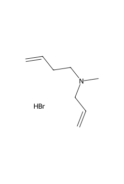 Br.C=CCCN(C)CC=C